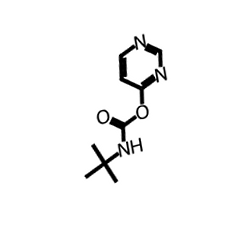 CC(C)(C)NC(=O)Oc1ccncn1